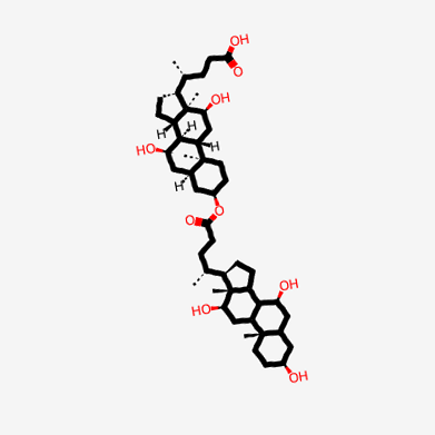 C[C@H](CCC(=O)O[C@@H]1CC[C@@]2(C)[C@@H](C1)C[C@@H](O)[C@@H]1[C@@H]2C[C@H](O)[C@]2(C)[C@@H]([C@H](C)CCC(=O)O)CC[C@@H]12)[C@H]1CCC2C3C(C[C@@H](O)[C@@]21C)[C@@]1(C)CC[C@H](O)CC1C[C@@H]3O